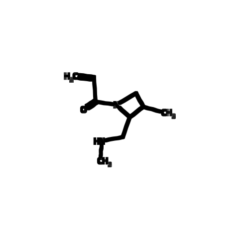 C=CC(=O)N1CC(C)C1CNC